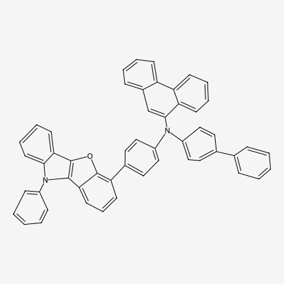 c1ccc(-c2ccc(N(c3ccc(-c4cccc5c4oc4c6ccccc6n(-c6ccccc6)c54)cc3)c3cc4ccccc4c4ccccc34)cc2)cc1